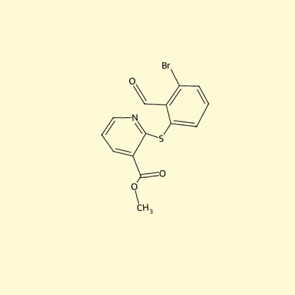 COC(=O)c1cccnc1Sc1cccc(Br)c1C=O